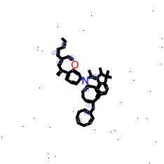 C=C1/C=C(/C=C\C=C/C)\C=C/OC2=CC(N(/C(C)=C3\c4ccccc4C(C)(C)C3C)/C3=C/C/C=C(/C/C4=C/C/C=C\CC=C4)C#CC3)C=CC=C12